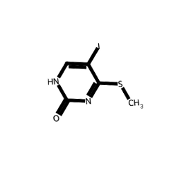 CSc1nc(=O)[nH]cc1I